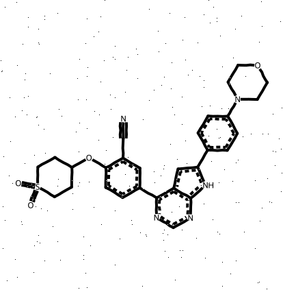 N#Cc1cc(-c2ncnc3[nH]c(-c4ccc(N5CCOCC5)cc4)cc23)ccc1OC1CCS(=O)(=O)CC1